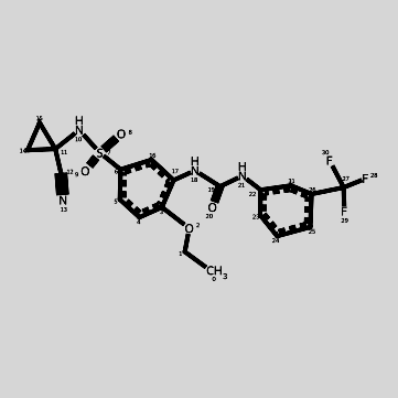 CCOc1ccc(S(=O)(=O)NC2(C#N)CC2)cc1NC(=O)Nc1cccc(C(F)(F)F)c1